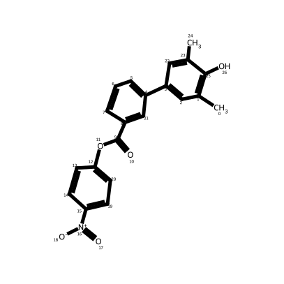 Cc1cc(-c2cccc(C(=O)Oc3ccc([N+](=O)[O-])cc3)c2)cc(C)c1O